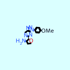 COc1ccc(-n2nnc3cnc([C@H]4OCCC4N)nc32)cc1